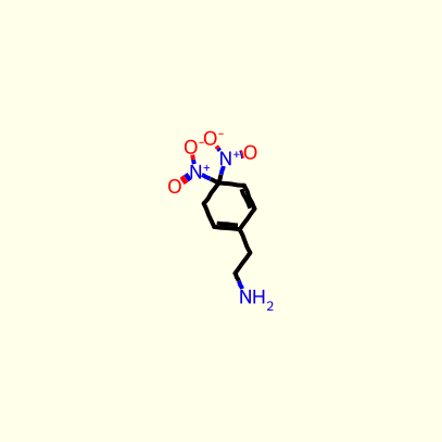 NCCC1=CCC([N+](=O)[O-])([N+](=O)[O-])C=C1